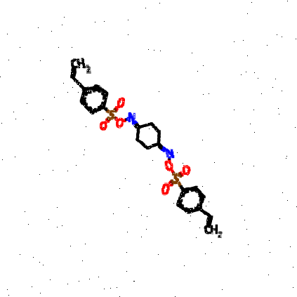 C=Cc1ccc(S(=O)(=O)ON=C2CCC(=NOS(=O)(=O)c3ccc(C=C)cc3)CC2)cc1